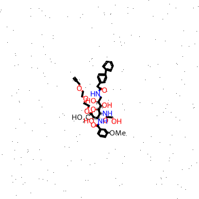 C#CCOCCOCCO[C@@]1(C(=O)O)O[C@@H]([C@H](O)[C@H](O)CNC(=O)Cc2ccc(-c3ccccc3)cc2)[C@H](NC(=O)CO)[C@@H](NC(=O)c2cccc(OC)c2)[C@@H]1O